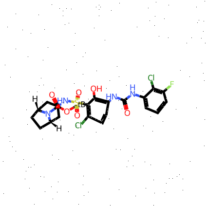 CC(C)(C)OC(=O)N1[C@@H]2CC[C@H]1CC(NS(=O)(=O)c1c(Cl)ccc(NC(=O)Nc3cccc(F)c3Cl)c1O)C2